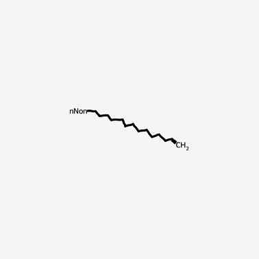 C=CCCCCCCCCCCCCCCCCCCCCC